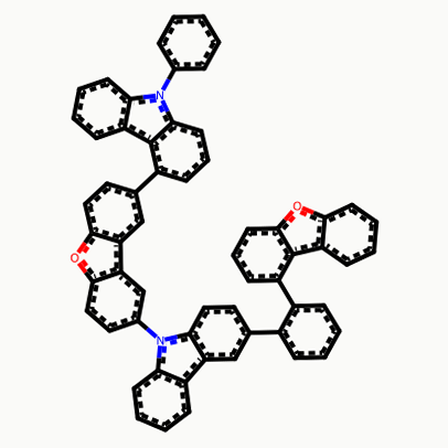 c1ccc(-n2c3ccccc3c3c(-c4ccc5oc6ccc(-n7c8ccccc8c8cc(-c9ccccc9-c9cccc%10oc%11ccccc%11c9%10)ccc87)cc6c5c4)cccc32)cc1